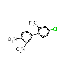 O=[N+]([O-])c1ccc(-c2ccc(Cl)cc2C(F)(F)F)cc1[N+](=O)[O-]